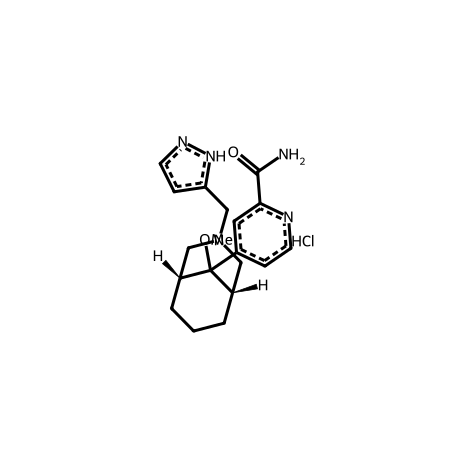 COC1(c2ccnc(C(N)=O)c2)[C@@H]2CCC[C@H]1CN(Cc1ccn[nH]1)C2.Cl